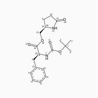 CC(C)(C)OC(=O)N[C@@H](Cc1ccccc1)C(=O)OC[C@H]1CCC(=O)N1